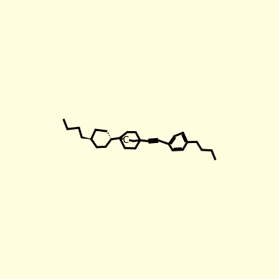 CCCCc1ccc(C#CC23CCC([C@H]4CC[C@H](CCCC)CC4)(CC2)CC3)cc1